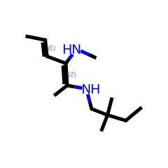 C/C=C/C(NC)=C(\C)NCC(C)(C)CC